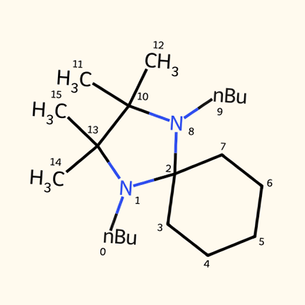 CCCCN1C2(CCCCC2)N(CCCC)C(C)(C)C1(C)C